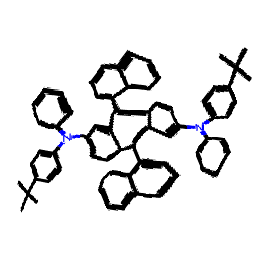 CC(C)(C)c1ccc(N(C2=CCCC=C2)c2ccc3c(-c4cccc5ccccc45)c4cc(N(c5ccccc5)c5ccc(C(C)(C)C)cc5)ccc4c(-c4cccc5ccccc45)c3c2)cc1